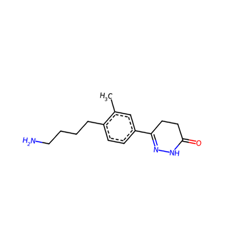 Cc1cc(C2=NNC(=O)CC2)ccc1CCCCN